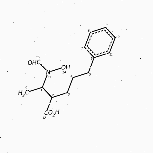 CC(C(CCCc1ccccc1)C(=O)O)N(O)C=O